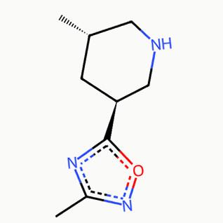 Cc1noc([C@@H]2CNC[C@@H](C)C2)n1